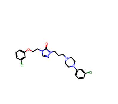 O=c1n(CCOc2cccc(Cl)c2)cnn1CCCN1CCN(c2cccc(Cl)c2)CC1